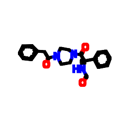 O=CN[C@H](C(=O)N1CCN(C(=O)Cc2ccccc2)CC1)c1ccccc1